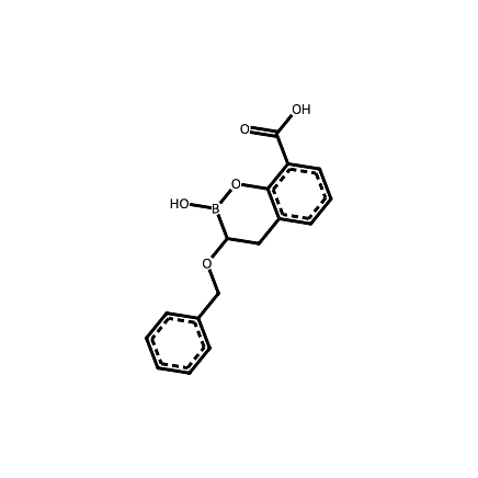 O=C(O)c1cccc2c1OB(O)C(OCc1ccccc1)C2